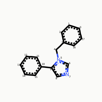 c1ccc(Cn2cncc2-c2ccccc2)cc1